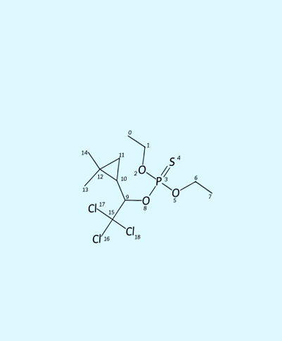 CCOP(=S)(OCC)OC(C1CC1(C)C)C(Cl)(Cl)Cl